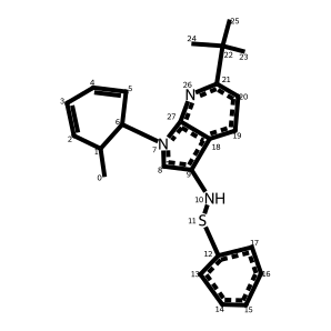 CC1C=CC=CC1n1cc(NSc2ccccc2)c2ccc(C(C)(C)C)nc21